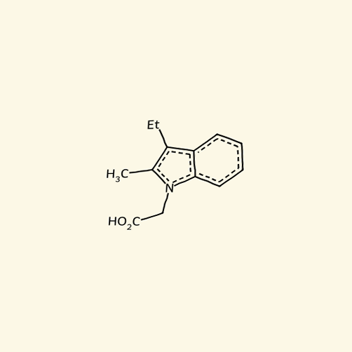 CCc1c(C)n(CC(=O)O)c2ccccc12